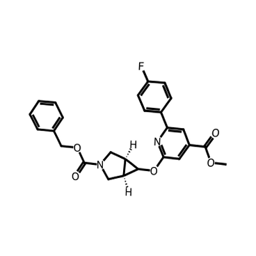 COC(=O)c1cc(OC2[C@H]3CN(C(=O)OCc4ccccc4)C[C@@H]23)nc(-c2ccc(F)cc2)c1